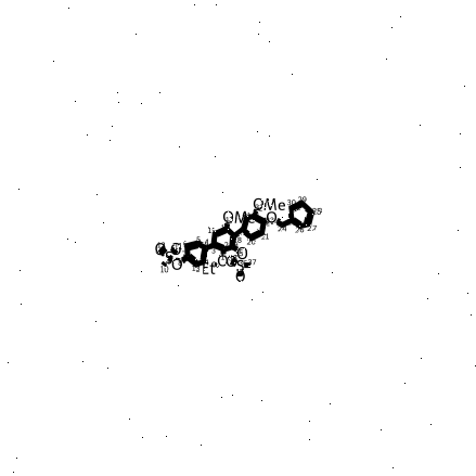 CCOc1c(-c2ccc(OS(C)(=O)=O)cc2)cc(OC)c(-c2ccc(OCc3ccccc3)c(OC)c2)c1OS(C)(=O)=O